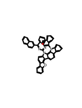 c1ccc2cc(-c3nc(-n4c5ccc6c7ccccc7oc6c5c5ccc6c7ccccc7n(-c7cccc8ccccc78)c6c54)nc4ccccc34)ccc2c1